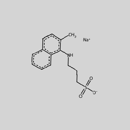 Cc1ccc2ccccc2c1NCCCS(=O)(=O)[O-].[Na+]